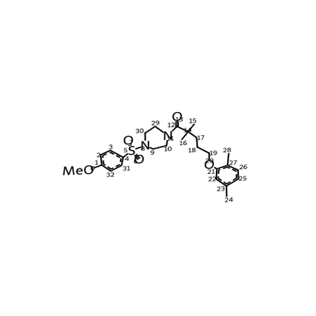 COc1ccc(S(=O)(=O)N2CCN(C(=O)C(C)(C)CCCOc3cc(C)ccc3C)CC2)cc1